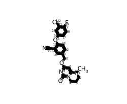 CN1CCCn2c1cc(OCc1ccc(Oc3ccc(F)c(Cl)c3)c(C#N)c1)nc2=O